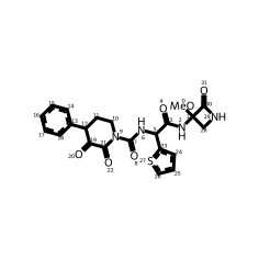 COC1(NC(=O)C(NC(=O)N2CCC(c3ccccc3)C(=O)C2=O)c2cccs2)CNC1=O